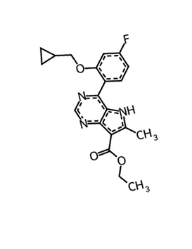 CCOC(=O)c1c(C)[nH]c2c(-c3ccc(F)cc3OCC3CC3)ncnc12